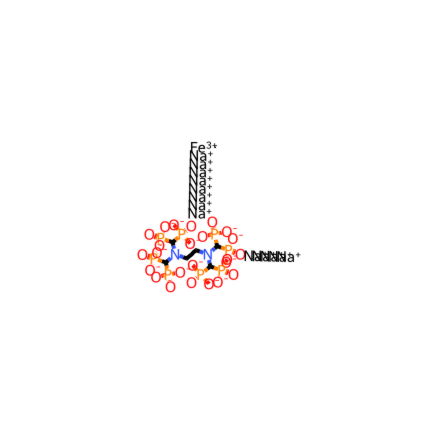 O=P([O-])([O-])C(N(CCN(C(P(=O)([O-])[O-])P(=O)([O-])[O-])C(P(=O)([O-])[O-])P(=O)([O-])[O-])C(P(=O)([O-])[O-])P(=O)([O-])[O-])P(=O)([O-])[O-].[Fe+3].[Na+].[Na+].[Na+].[Na+].[Na+].[Na+].[Na+].[Na+].[Na+].[Na+].[Na+].[Na+].[Na+]